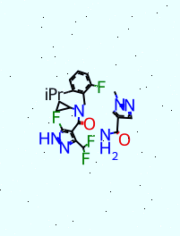 CC(C)c1cccc(F)c1CN(C(=O)c1c(C(F)F)n[nH]c1F)C1CC1.Cn1cc(C(N)=O)cn1